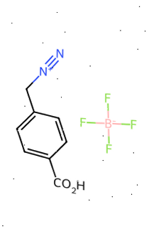 F[B-](F)(F)F.N#[N+]Cc1ccc(C(=O)O)cc1